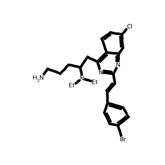 CCN(CC)C(CCCN)Cc1nc(C=Cc2ccc(Br)cc2)nc2cc(Cl)ccc12